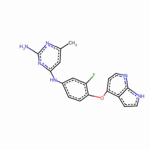 Cc1cc(Nc2ccc(Oc3ccnc4[nH]ccc34)c(F)c2)nc(N)n1